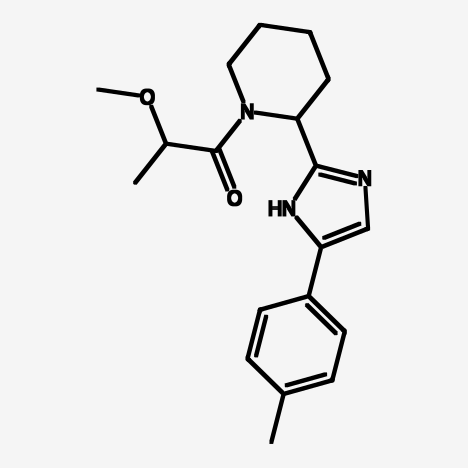 COC(C)C(=O)N1CCCCC1c1ncc(-c2ccc(C)cc2)[nH]1